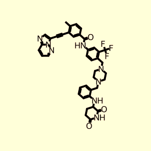 Cc1ccc(C(=O)Nc2ccc(CN3CCN(Cc4ccccc4NC4CCC(=O)NC4=O)CC3)c(C(F)(F)F)c2)cc1C#Cc1cnc2cccnn12